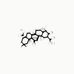 COC(=O)[C@]12CCC(C)(C)C[C@H]1[C@H]1C(=O)C=C3[C@@]4(C)CC(C(=O)O)C(=O)[C@@H](C)[C@@H]4CC[C@@]3(C)[C@]1(C)CC2